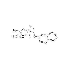 C[Si](C)(C)O[Si](C)(C)COc1ccc2ccccc2c1